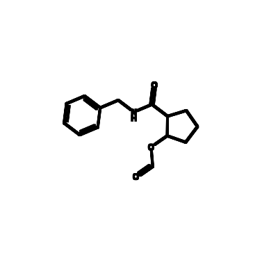 O=COC1CCCC1C(=O)NCc1ccccc1